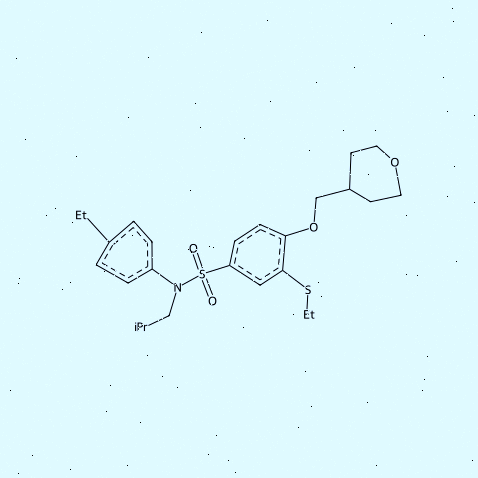 CCSc1cc(S(=O)(=O)N(CC(C)C)c2ccc(CC)cc2)ccc1OCC1CCOCC1